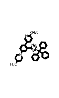 CCOc1ccc(-c2ccc(N3CCC(C)CC3)cc2-c2nnn(C(c3ccccc3)(c3ccccc3)c3ccccc3)n2)cn1